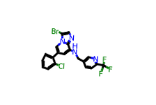 FC(F)(F)c1ccc(CNc2cc(-c3ccccc3Cl)cn3c(Br)cnc23)cn1